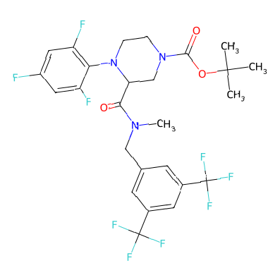 CN(Cc1cc(C(F)(F)F)cc(C(F)(F)F)c1)C(=O)C1CN(C(=O)OC(C)(C)C)CCN1c1c(F)cc(F)cc1F